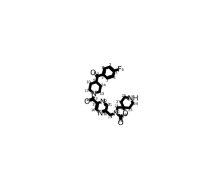 O=C(c1ccc(F)cc1)C1CCN(C(=O)c2cnc(CN3CC4(CCNCC4)OC3=O)cn2)CC1